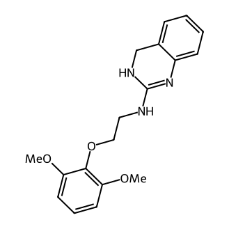 COc1cccc(OC)c1OCCNC1=Nc2ccccc2CN1